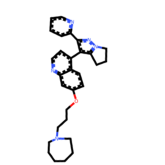 c1ccc(-c2nn3c(c2-c2ccnc4cc(OCCCN5CCCCCC5)ccc24)CCC3)nc1